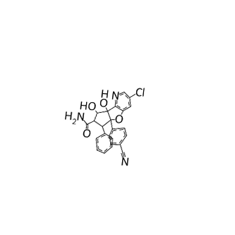 N#Cc1ccc(C23Oc4cc(Cl)cnc4C2(O)C(O)C(C(N)=O)C3c2ccccc2)cc1